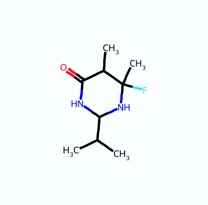 CC(C)C1NC(=O)C(C)C(C)(F)N1